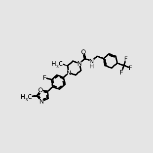 Cc1ncc(-c2ccc(N3CCN(C(=O)NCC4=CCC(C(F)(F)F)C=C4)C[C@@H]3C)cc2F)o1